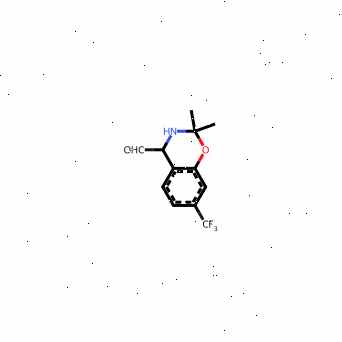 CC1(C)NC(C=O)c2ccc(C(F)(F)F)cc2O1